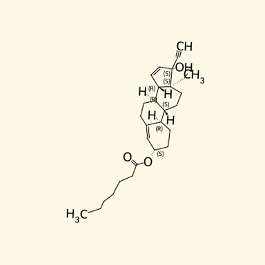 C#C[C@]1(O)C=C[C@H]2[C@@H]3CCC4=C[C@@H](OC(=O)CCCCCC)CC[C@@H]4[C@H]3CC[C@@]21CC